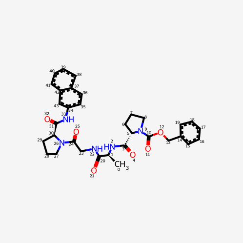 C[C@H](NC(=O)[C@@H]1CCCN1C(=O)OCc1ccccc1)C(=O)NCC(=O)N1CCC[C@H]1C(=O)Nc1ccc2ccccc2c1